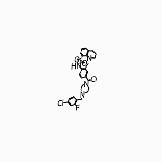 Cc1cc(C(=O)N2CCN(Cc3ccc(Cl)cc3F)CC2)ccc1NS(=O)(=O)c1cccc2c1N=CCC2